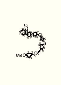 COc1ccc(COCC#Cc2ccc(O[C@H]3C[C@H](Oc4ccc(-c5ccc6c(c5)[nH]c5ccncc56)cn4)C3)cn2)cc1